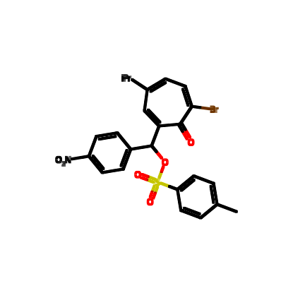 Cc1ccc(S(=O)(=O)OC(c2ccc([N+](=O)[O-])cc2)c2cc(C(C)C)ccc(Br)c2=O)cc1